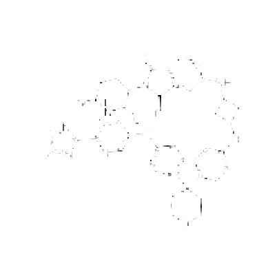 Cc1nc(-c2ncc(Oc3ccc(C4(c5ccc(OC6CC(Nc7ccc8c(c7)C(=O)N(C7CCC(=O)NC7=O)C8=O)C6)cc5)CCOCC4)cc3)cn2)no1